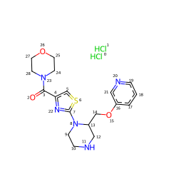 Cl.Cl.O=C(c1csc(N2CCNCC2COc2cccnc2)n1)N1CCOCC1